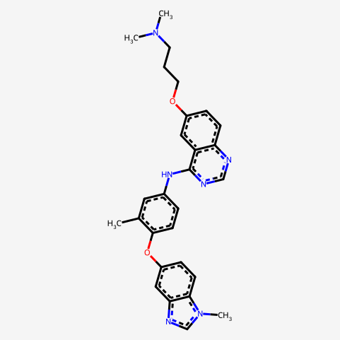 Cc1cc(Nc2ncnc3ccc(OCCCN(C)C)cc23)ccc1Oc1ccc2c(c1)ncn2C